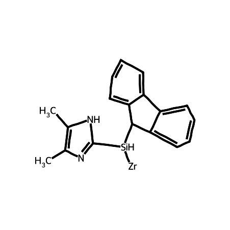 Cc1nc([SiH]([Zr])C2c3ccccc3-c3ccccc32)[nH]c1C